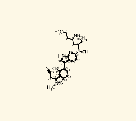 CCC[C@@H](N)C[C@@H](CC)N(C)c1cnc2c(-c3ccc4nn(C)c(CC#N)c4c3Cl)c[nH]c2n1